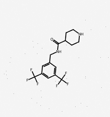 O=C(NCc1cc(C(F)(F)F)cc(C(F)(F)F)c1)C1CCNCC1